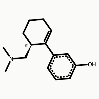 CN(C)C[C@H]1CCCC=C1c1cccc(O)c1